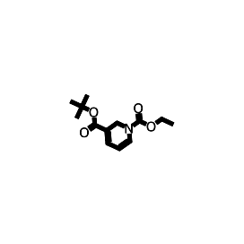 CCOC(=O)N1C=CC=C(C(=O)OC(C)(C)C)C1